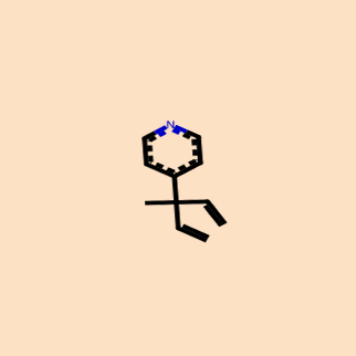 C=CC(C)(C=C)c1ccncc1